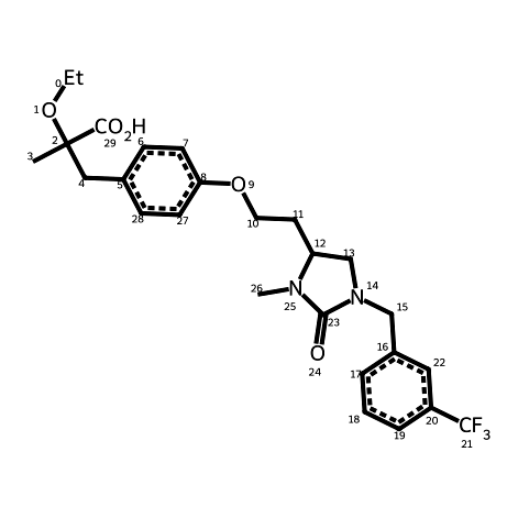 CCOC(C)(Cc1ccc(OCCC2CN(Cc3cccc(C(F)(F)F)c3)C(=O)N2C)cc1)C(=O)O